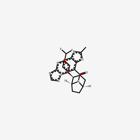 Cc1nc2cccc(C(=O)N3[C@H]4CC[C@H](c5cc(C(F)F)nc6ncnn56)[C@@H]3CC4)c2o1